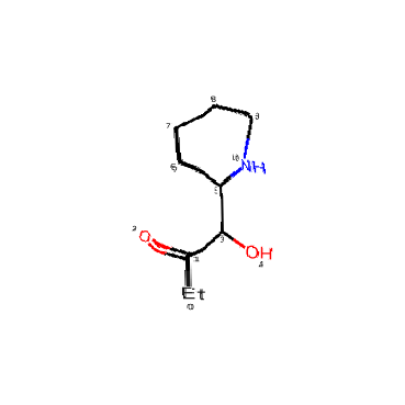 CCC(=O)C(O)C1CCCCN1